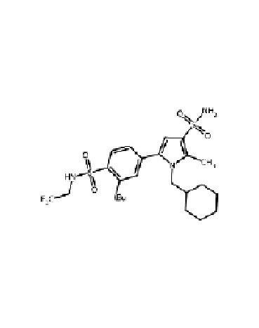 Cc1c(S(N)(=O)=O)cc(-c2ccc(S(=O)(=O)NCC(F)(F)F)c(C(C)(C)C)c2)n1CC1CCCCC1